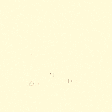 CCCCCCCCCCN(CCCCCCCCCC)c1ccccc1C